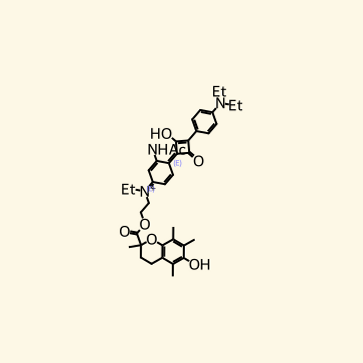 CCN(CC)c1ccc(C2=C(O)/C(=C3C=C/C(=[N+](/CC)CCOC(=O)C4(C)CCc5c(C)c(O)c(C)c(C)c5O4)C=C/3NC(C)=O)C2=O)cc1